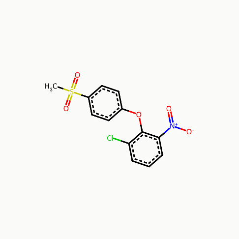 CS(=O)(=O)c1ccc(Oc2c(Cl)cccc2[N+](=O)[O-])cc1